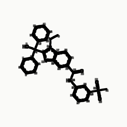 CCn1c(C(O)(c2ccccc2)c2ccccc2)nc2cc(C(=O)Nc3cccc(S(C)(=O)=O)c3)ccc21